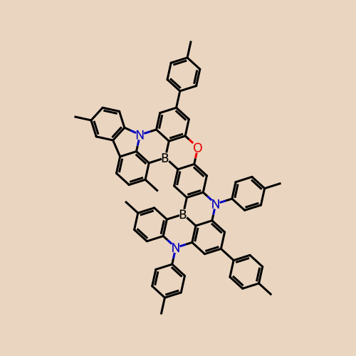 Cc1ccc(-c2cc3c4c(c2)N(c2ccc(C)cc2)c2cc5c(cc2B4c2cc(C)ccc2N3c2ccc(C)cc2)B2c3c(cc(-c4ccc(C)cc4)cc3-n3c4ccc(C)cc4c4ccc(C)c2c43)O5)cc1